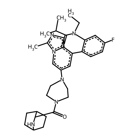 CCN(C(=O)C(C)C)c1cc(F)ccc1-c1cc(N2CCN(C(=O)C3NC4CCC3CC4)CC2)cn2c(C)ncc12